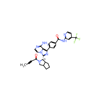 CC#CC(=O)N1CC2CCCC2[C@H]1c1nc(-c2ccc(C(=O)Nc3cc(C(F)(F)F)ccn3)cc2)c2c(N)nccn12